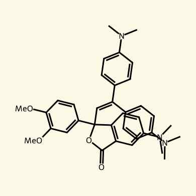 COc1ccc(C2(C=C(c3ccc(N(C)C)cc3)c3ccc(N(C)C)cc3)OC(=O)c3cc(N(C)C)ccc32)cc1OC